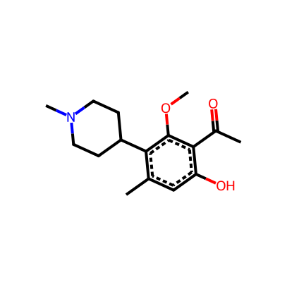 COc1c(C(C)=O)c(O)cc(C)c1C1CCN(C)CC1